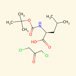 CC(C)C[C@H](NC(=O)OC(C)(C)C)C(=O)O.O=C(CCl)CCl